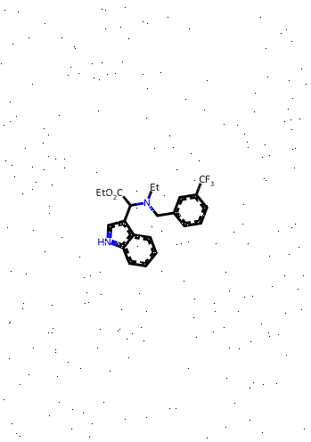 CCOC(=O)C(c1c[nH]c2ccccc12)N(CC)Cc1cccc(C(F)(F)F)c1